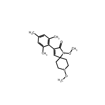 CON1CCC2([C]=C(c3c(C)cc(C)cc3C)C(=O)N2OC)CC1